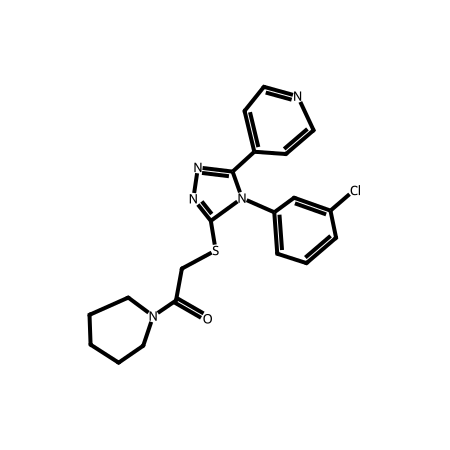 O=C(CSc1nnc(-c2ccncc2)n1-c1cccc(Cl)c1)N1CCCCC1